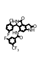 O=C1Cc2c(cc(NC(=O)c3cc(F)cc(C(F)(F)F)c3)c3c2C(=O)NC3c2cc(F)ccc2Cl)N1